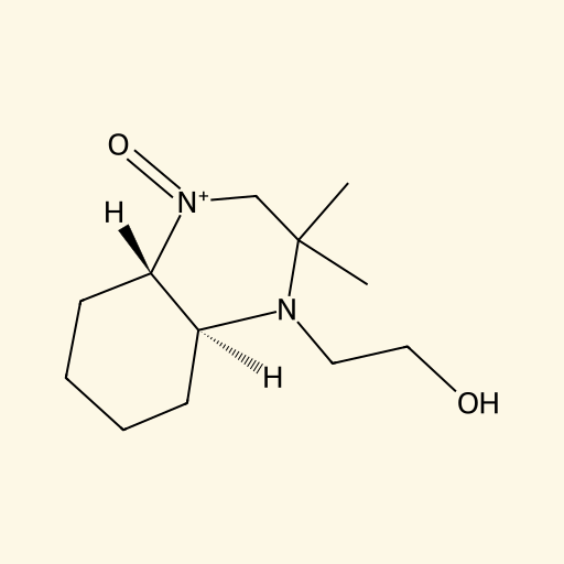 CC1(C)C[N+](=O)[C@H]2CCCC[C@@H]2N1CCO